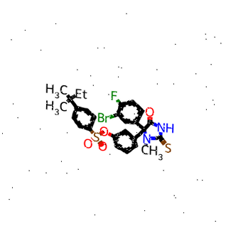 CCC(C)(C)c1ccc(S(=O)(=O)Oc2cccc(C3(c4ccc(F)c(Br)c4)C(=O)NC(=S)N3C)c2)cc1